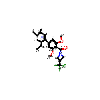 CCC(C)/C=C(/c1cc(OC)c(C(=O)N2CC(C(F)(F)F)C2)c(OC)c1)C(C)CC